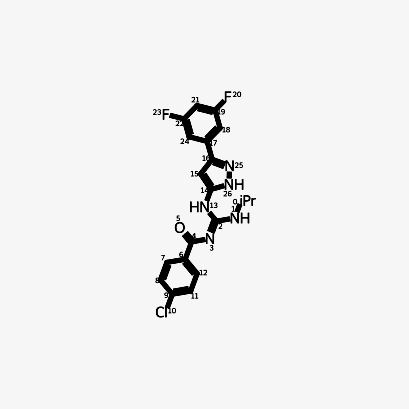 CC(C)N/C(=N/C(=O)c1ccc(Cl)cc1)Nc1cc(-c2cc(F)cc(F)c2)n[nH]1